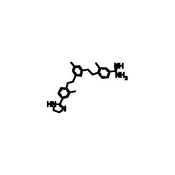 Cc1cc(CCc2ccc(C(=N)N)cc2C)cc(CCc2ccc(C3=NCCN3)cc2C)c1